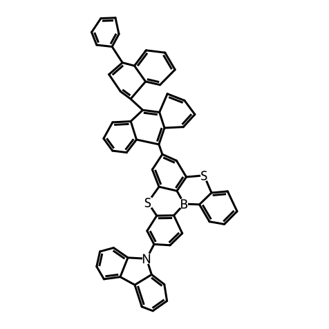 c1ccc(-c2ccc(-c3c4ccccc4c(-c4cc5c6c(c4)Sc4cc(-n7c8ccccc8c8ccccc87)ccc4B6c4ccccc4S5)c4ccccc34)c3ccccc23)cc1